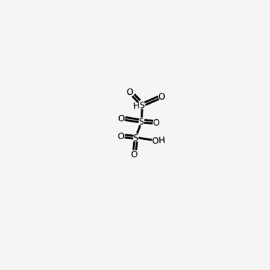 O=[SH](=O)S(=O)(=O)S(=O)(=O)O